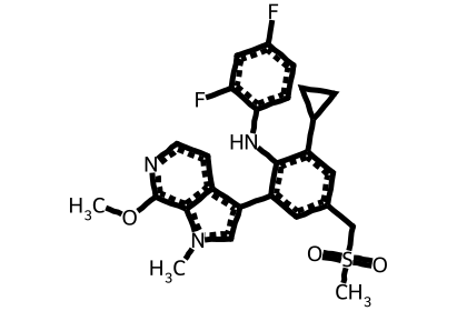 COc1nccc2c(-c3cc(CS(C)(=O)=O)cc(C4CC4)c3Nc3ccc(F)cc3F)cn(C)c12